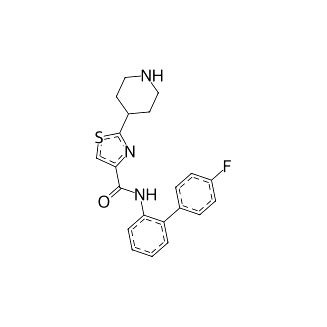 O=C(Nc1ccccc1-c1ccc(F)cc1)c1csc(C2CCNCC2)n1